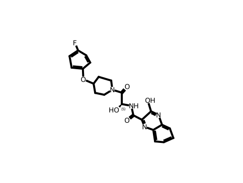 O=C(N[C@@H](O)C(=O)N1CCC(Oc2ccc(F)cc2)CC1)c1nc2ccccc2nc1O